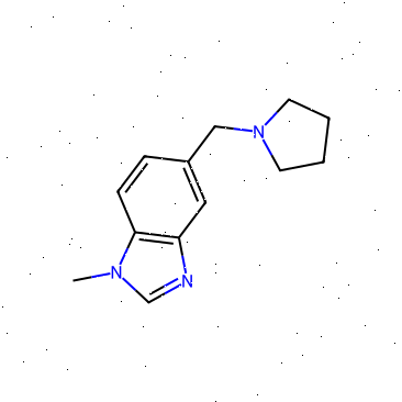 Cn1cnc2cc(CN3CCCC3)ccc21